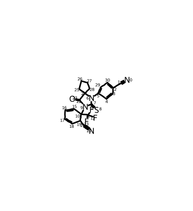 N#Cc1ccc(N2C(=S)N(C3(C(F)(F)F)C=CC=CC3C#N)C(=O)C23CCCC3)cc1